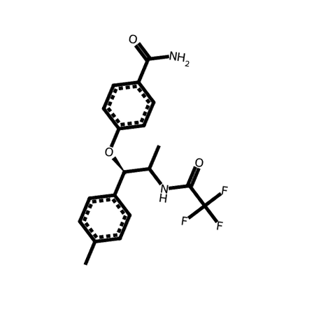 Cc1ccc([C@@H](Oc2ccc(C(N)=O)cc2)C(C)NC(=O)C(F)(F)F)cc1